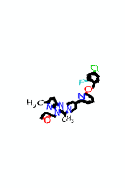 Cc1ccc2nc(C(C)N3CCC(c4cccc(OCc5ccc(Cl)cc5F)n4)CC3)n(CC3CCO3)c2n1